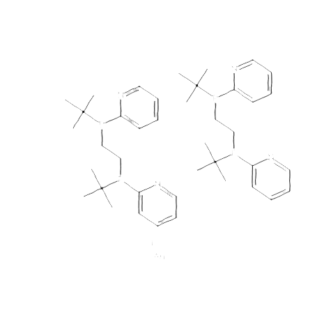 CC(C)(C)P(CCP(c1ccccn1)C(C)(C)C)c1ccccn1.CC(C)(C)P(CCP(c1ccccn1)C(C)(C)C)c1ccccn1.[Au+].[I-]